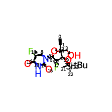 C#C[C@]1(CO)O[C@@H](n2cc(F)c(=O)[nH]c2=O)[C@@H](F)C1O[Si](C)(C)C(C)(C)C